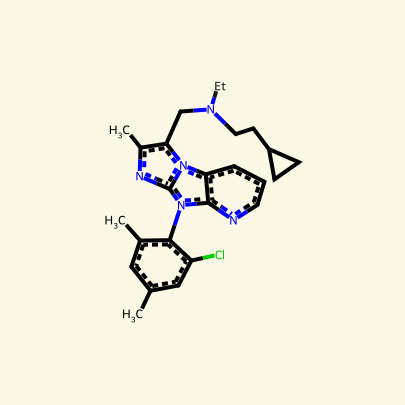 CCN(CCC1CC1)Cc1c(C)nc2n(-c3c(C)cc(C)cc3Cl)c3ncccc3n12